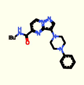 CCC(C)NC(=O)c1ccn2ncc(N3CCN(c4ccccc4)CC3)c2n1